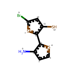 Nc1ccsc1-c1sc(Br)cc1S